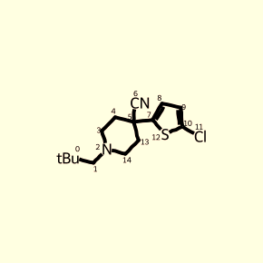 CC(C)(C)CN1CCC(C#N)(c2ccc(Cl)s2)CC1